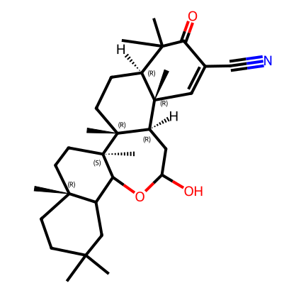 CC1(C)CC[C@]2(C)CC[C@]3(C)C(OC(O)C[C@@H]4[C@@]5(C)C=C(C#N)C(=O)C(C)(C)[C@@H]5CC[C@]43C)C2C1